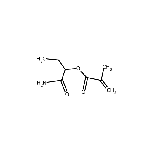 C=C(C)C(=O)OC(CC)C(N)=O